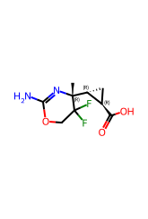 C[C@]1([C@@H]2C[C@H]2C(=O)O)N=C(N)OCC1(F)F